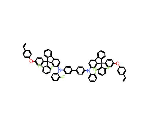 C=Cc1ccc(Oc2ccc(C3(c4c(F)cccc4F)c4ccccc4-c4ccc(N(c5ccc(-c6ccc(N(c7ccc8c(c7)C(c7ccc(Oc9ccc(C=C)cc9)cc7)(c7c(F)cccc7F)c7ccccc7-8)c7ccccc7F)cc6)cc5)c5ccccc5F)cc43)cc2)cc1